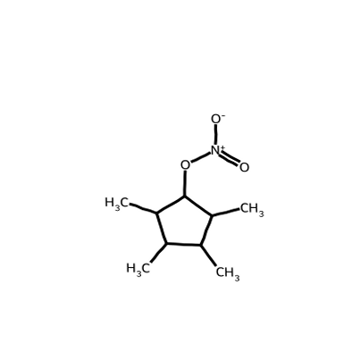 CC1C(C)C(C)C(O[N+](=O)[O-])C1C